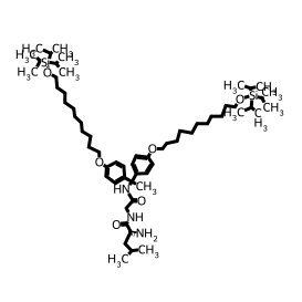 CC(C)C[C@H](N)C(=O)NCC(=O)NC(C)(c1ccc(OCCCCCCCCCCCO[Si](C(C)C)(C(C)C)C(C)C)cc1)c1ccc(OCCCCCCCCCCCO[Si](C(C)C)(C(C)C)C(C)C)cc1